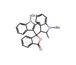 CCCCCCCCn1c(C)c(C2(C3c4ccccc4N(CCCC)C3C)OC(=O)c3ccccc32)c2ccccc21